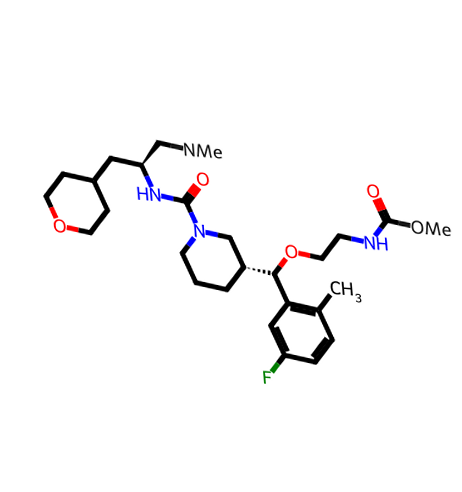 CNC[C@H](CC1CCOCC1)NC(=O)N1CCC[C@@H](C(OCCNC(=O)OC)c2cc(F)ccc2C)C1